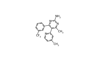 Cc1ccnc(-c2c(C)nc(N)nc2-c2cccc(C(F)(F)F)c2)c1